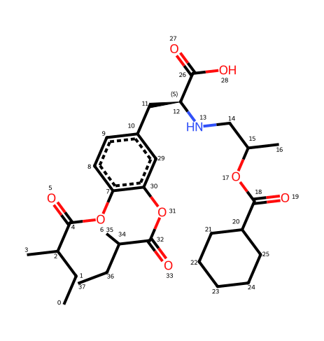 CCC(C)C(=O)Oc1ccc(C[C@H](NCC(C)OC(=O)C2CCCCC2)C(=O)O)cc1OC(=O)C(C)CC